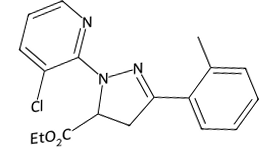 CCOC(=O)C1CC(c2ccccc2C)=NN1c1ncccc1Cl